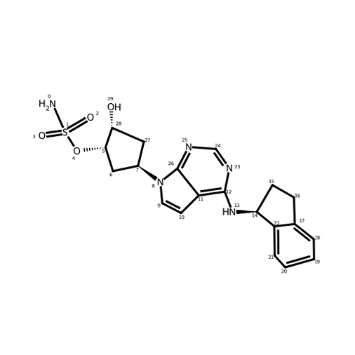 NS(=O)(=O)O[C@H]1C[C@H](n2ccc3c(N[C@H]4CCc5ccccc54)ncnc32)C[C@H]1O